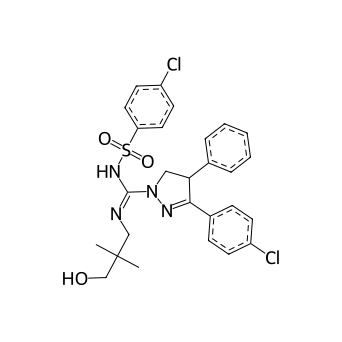 CC(C)(CO)C/N=C(/NS(=O)(=O)c1ccc(Cl)cc1)N1CC(c2ccccc2)C(c2ccc(Cl)cc2)=N1